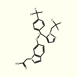 O=C(O)Cn1ccc2ccc(O[C@@H](c3ccc(C(F)(F)F)cc3)c3ccnn3CC(F)(F)F)cc21